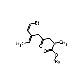 C/C=C(\C=C/CC)CC(=O)CN(C)C(=O)OC(C)(C)C